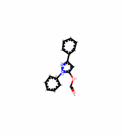 O=COc1cc(-c2ccccc2)nn1-c1ccccc1